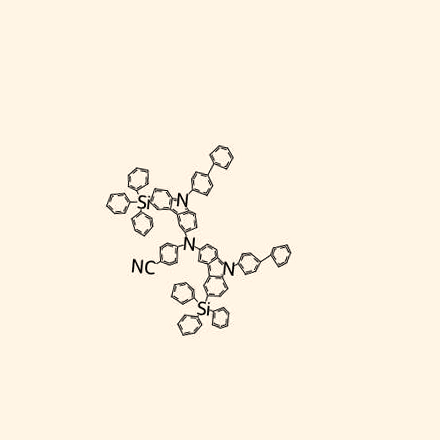 N#Cc1ccc(N(c2ccc3c(c2)c2cc([Si](c4ccccc4)(c4ccccc4)c4ccccc4)ccc2n3-c2ccc(-c3ccccc3)cc2)c2ccc3c(c2)c2cc([Si](c4ccccc4)(c4ccccc4)c4ccccc4)ccc2n3-c2ccc(-c3ccccc3)cc2)cc1